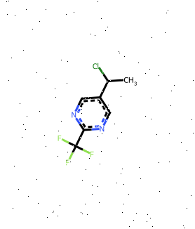 CC(Cl)c1cnc(C(F)(F)F)nc1